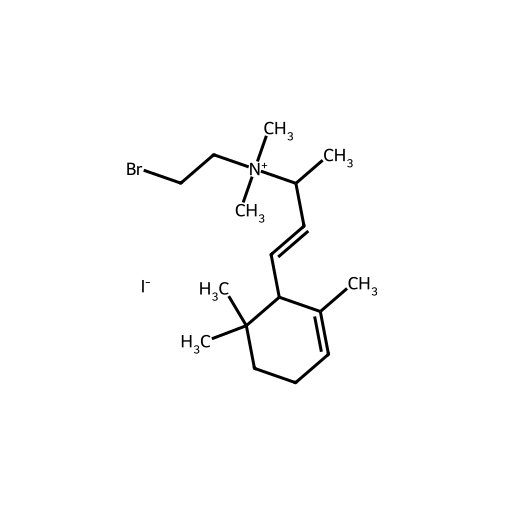 CC1=CCCC(C)(C)C1C=CC(C)[N+](C)(C)CCBr.[I-]